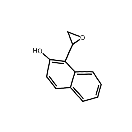 Oc1ccc2ccccc2c1C1CO1